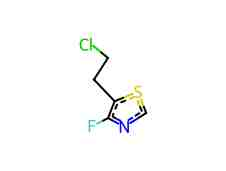 Fc1ncsc1CCCl